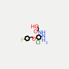 Nc1cc(Cl)c(OCc2ccc(F)cc2)cc1NC(=O)CO